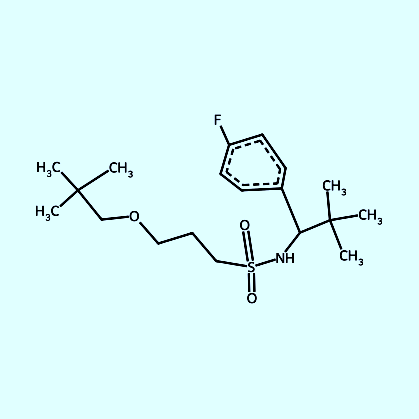 CC(C)(C)COCCCS(=O)(=O)NC(c1ccc(F)cc1)C(C)(C)C